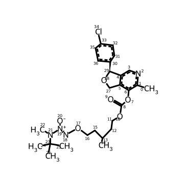 Cc1ncc2c(c1OC(=O)OCCC(C)CCO/N=[N+](\[O-])N(C)C(C)(C)C)CO[C@H]2c1ccc(Cl)cc1